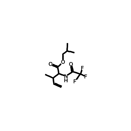 C=CC(C)C(NC(=O)C(F)(F)F)C(=O)OCC(C)C